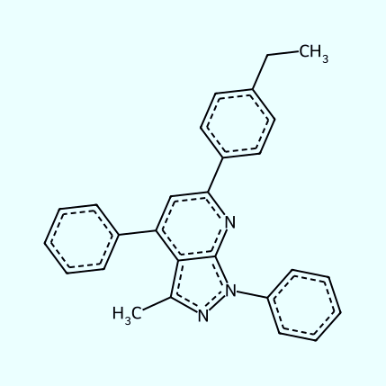 CCc1ccc(-c2cc(-c3ccccc3)c3c(C)nn(-c4ccccc4)c3n2)cc1